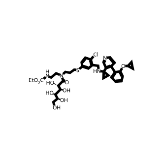 CCOC(=O)NCCN(CCCSc1ccc(Cl)c(CNC2(c3cnccc3-c3ccccc3OC3CC3)CC2)c1)C(=O)[C@@H](O)[C@@H](O)[C@H](O)[C@@H](O)CO